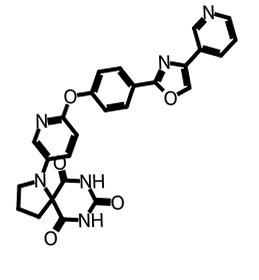 O=C1NC(=O)C2(CCCN2c2ccc(Oc3ccc(-c4nc(-c5cccnc5)co4)cc3)nc2)C(=O)N1